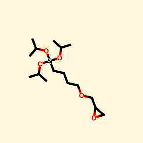 CC(C)O[Si](CCCCOCC1CO1)(OC(C)C)OC(C)C